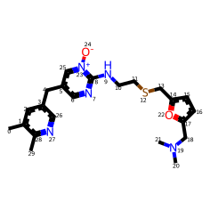 Cc1cc(Cc2cnc(NCCSCc3ccc(CN(C)C)o3)[n+]([O-])c2)cnc1C